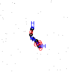 O=C1CCC(N2C(=O)c3ccc(N4CCN(CC5CCC(OCC6CCNCC6)CC5)CC4)cc3C2=O)C(=O)N1